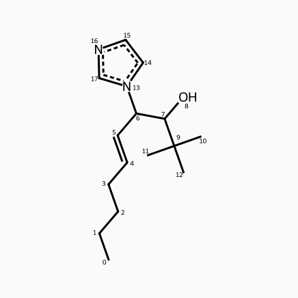 CCCCC=CC(C(O)C(C)(C)C)n1ccnc1